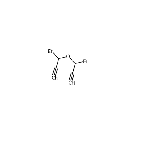 C#CC(CC)OC(C#C)CC